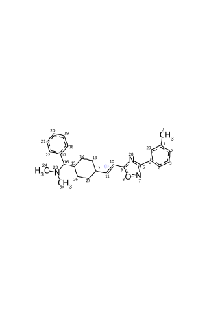 Cc1cccc(-c2noc(/C=C/C3CCC(C(c4ccccc4)N(C)C)CC3)n2)c1